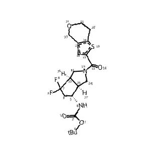 CC(C)(C)OC(=O)N[C@@H]1CC(F)(F)[C@H]2CN(C(=O)c3cc4c(s3)CCOC4)C[C@@H]12